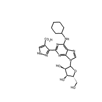 O=C(O)c1c[nH]nc1-c1nc(NC2CCCCC2)c2ncn(C3O[C@H](CO)[C@@H](O)[C@H]3O)c2n1